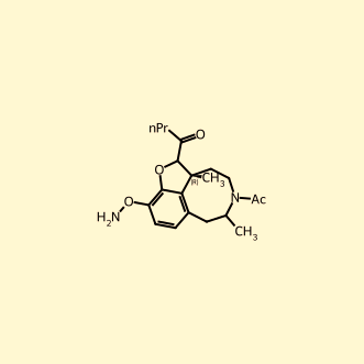 CCCC(=O)C1Oc2c(ON)ccc3c2[C@@]1(C)CCN(C(C)=O)C(C)C3